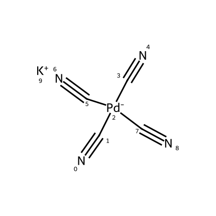 N#[C][Pd-]([C]#N)([C]#N)[C]#N.[K+]